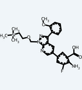 COc1ccccc1-c1nn(COCC[Si](C)(C)C)c2ncc(-c3cc(F)c(N)c(C(=O)O)c3)cc12